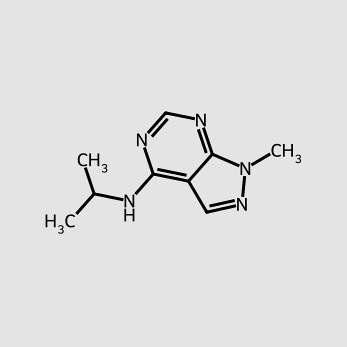 CC(C)Nc1ncnc2c1cnn2C